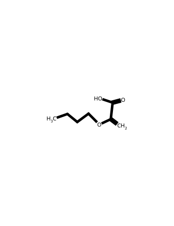 C=C(OCCCC)C(=O)O